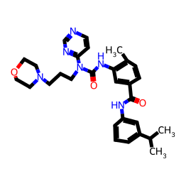 Cc1ccc(C(=O)Nc2cccc(C(C)C)c2)cc1NC(=O)N(CCCN1CCOCC1)c1ccncn1